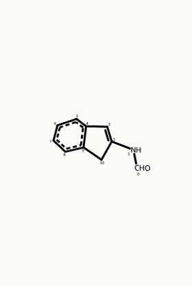 O=CNC1=Cc2ccccc2C1